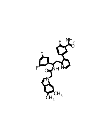 Cc1cc2ccn(CC(=O)NC(Cc3ncccc3-c3ccc(F)c(C(N)=O)c3)c3cc(F)cc(F)c3)c2cc1C